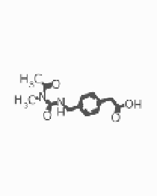 CC(=O)N(C)C(=O)NCc1ccc(CC(=O)O)cc1